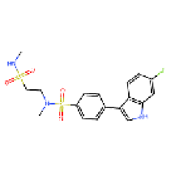 CNS(=O)(=O)CCN(C)S(=O)(=O)c1ccc(-c2c[nH]c3cc(F)ccc23)cc1